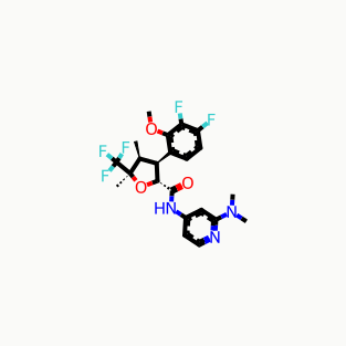 COc1c([C@H]2[C@H](C(=O)Nc3ccnc(N(C)C)c3)O[C@@](C)(C(F)(F)F)[C@H]2C)ccc(F)c1F